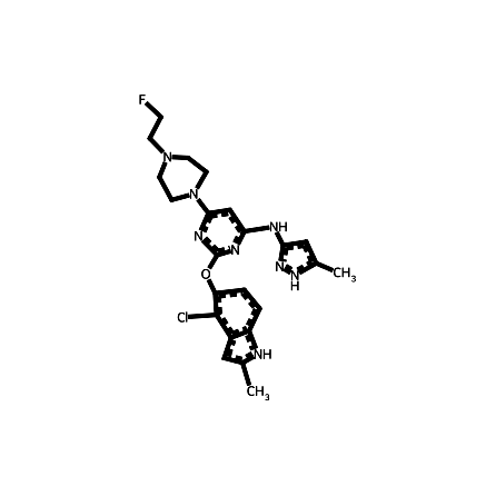 Cc1cc(Nc2cc(N3CCN(CCF)CC3)nc(Oc3ccc4[nH]c(C)cc4c3Cl)n2)n[nH]1